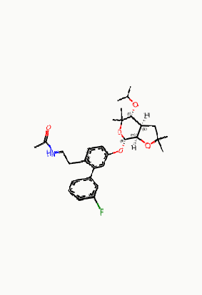 CC(=O)NCCc1ccc(O[C@@H]2OC(C)(C)[C@H](OC(C)C)[C@H]3CC(C)(C)O[C@@H]23)cc1-c1cccc(F)c1